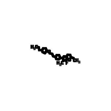 CCCC1CCC(OCCCC2CCC(c3cc4c(c(F)c3C)OC(CC)CC4)CC2)CC1